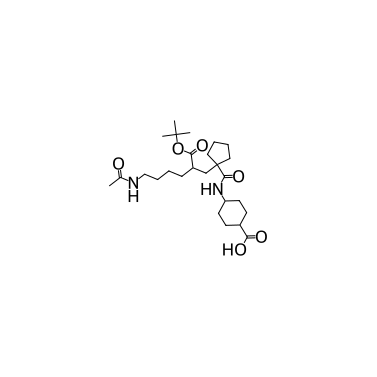 CC(=O)NCCCCC(CC1(C(=O)NC2CCC(C(=O)O)CC2)CCCC1)C(=O)OC(C)(C)C